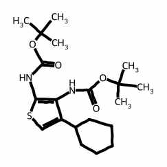 CC(C)(C)OC(=O)Nc1scc(C2CCCCC2)c1NC(=O)OC(C)(C)C